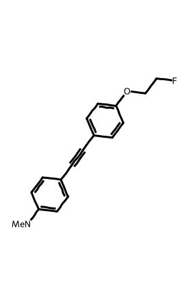 CNc1ccc(C#Cc2ccc(OCCF)cc2)cc1